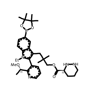 CCn1c(-c2cccnc2[C@H](C)OC)c(CC(C)(C)COC(=O)[C@@H]2CCCNN2)c2cc(B3OC(C)(C)C(C)(C)O3)ccc21